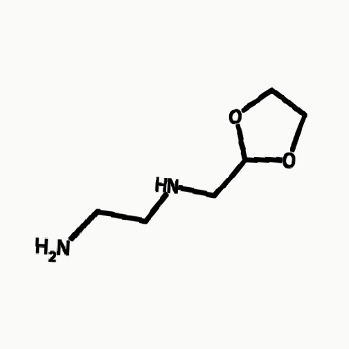 NCCNCC1OCCO1